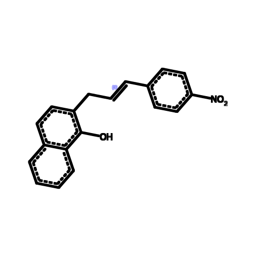 O=[N+]([O-])c1ccc(/C=C/Cc2ccc3ccccc3c2O)cc1